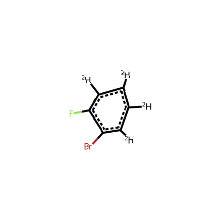 [2H]c1c([2H])c([2H])c(Br)c(F)c1[2H]